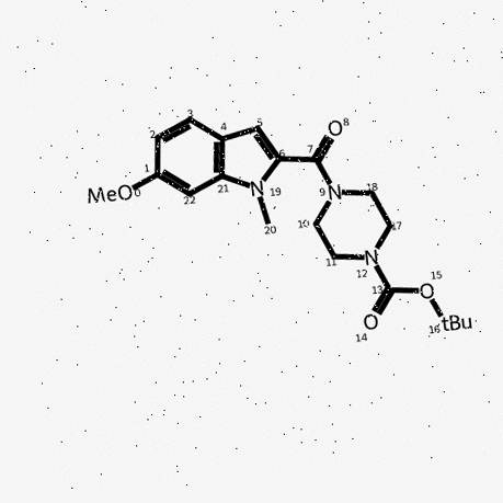 COc1ccc2cc(C(=O)N3CCN(C(=O)OC(C)(C)C)CC3)n(C)c2c1